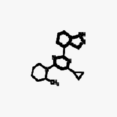 CC1CCCCN1c1cc(C2CC2)nc(-c2cccc3[nH]ncc23)n1